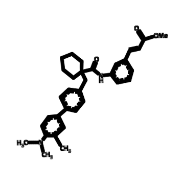 COC(=O)/C=C/c1cccc(NC(=O)C2(Cc3ccc(-c4ccc(N(C)C)c(C)c4)cc3)CCCCC2)c1